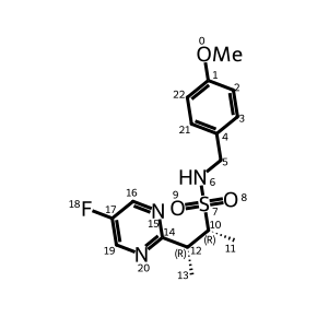 COc1ccc(CNS(=O)(=O)[C@H](C)[C@H](C)c2ncc(F)cn2)cc1